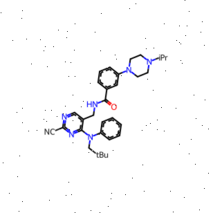 CC(C)N1CCN(c2cccc(C(=O)NCc3cnc(C#N)nc3N(CC(C)(C)C)c3ccccc3)c2)CC1